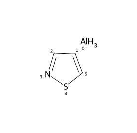 [AlH3].c1cnsc1